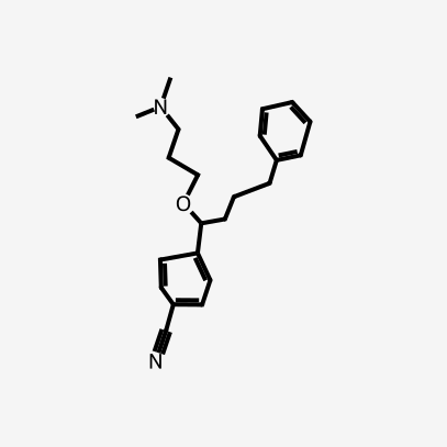 CN(C)CCCOC(CCCc1ccccc1)c1ccc(C#N)cc1